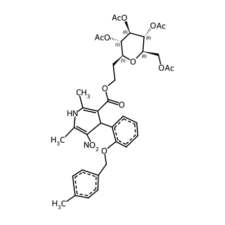 CC(=O)OC[C@H]1O[C@@H](CCOC(=O)C2=C(C)NC(C)=C([N+](=O)[O-])C2c2ccccc2OCc2ccc(C)cc2)[C@H](OC(C)=O)[C@@H](OC(C)=O)[C@@H]1OC(C)=O